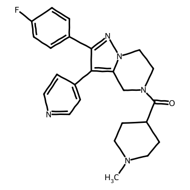 CN1CCC(C(=O)N2CCn3nc(-c4ccc(F)cc4)c(-c4ccncc4)c3C2)CC1